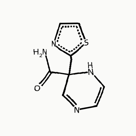 NC(=O)C1(c2nccs2)C=NC=CN1